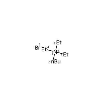 CCCC[N+](CC)(CC)CC.[Br-]